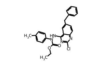 CCOC(=O)N(Nc1nc(Cl)nc2ccc(Cc3ccccc3)cc12)c1ccc(C)cc1